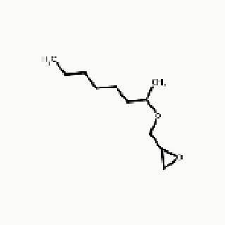 CCCCCCC(C)OCC1CO1